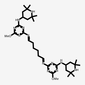 COc1nc(N=CCCCCC=Nc2nc(NC3CC(C)(C)NC(C)(C)C3)nc(OC)n2)nc(NC2CC(C)(C)NC(C)(C)C2)n1